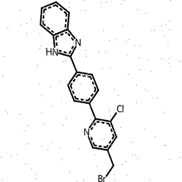 Clc1cc(CBr)cnc1-c1ccc(-c2nc3ccccc3[nH]2)cc1